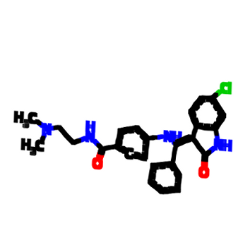 CN(C)CCNC(=O)c1ccc(NC(=C2C(=O)Nc3cc(Cl)ccc32)c2ccccc2)cc1